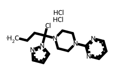 Cl.Cl.[CH2]CCC(Cl)(N1CCN(c2ncccn2)CC1)n1cccn1